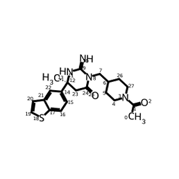 CC(=O)N1CCC(CN2C(=N)N[C@](C)(c3ccc4sccc4c3)CC2=O)CC1